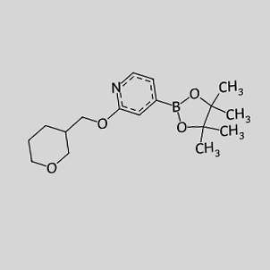 CC1(C)OB(c2ccnc(OCC3CCCOC3)c2)OC1(C)C